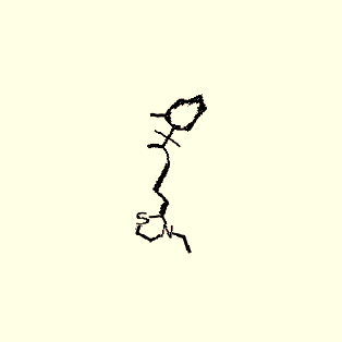 C=C(/C=C/C=C1\SCCN1CC)C(C)(C)c1ccccc1C